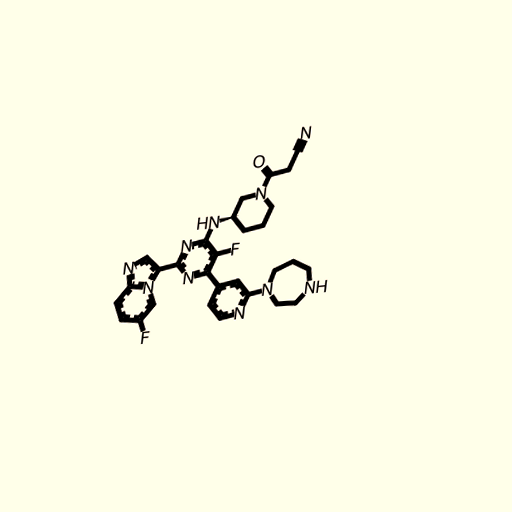 N#CCC(=O)N1CCC[C@@H](Nc2nc(-c3cnc4ccc(F)cn34)nc(-c3ccnc(N4CCCNCC4)c3)c2F)C1